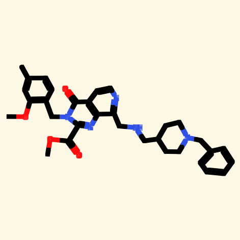 COC(=O)c1nc2c(CNCC3CCN(Cc4ccccc4)CC3)nccc2c(=O)n1Cc1ccc(C)cc1OC